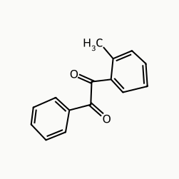 Cc1ccccc1C(=O)C(=O)c1ccccc1